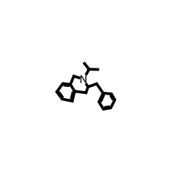 CC(C)N1Cc2ccccc2CC1Cc1ccccc1